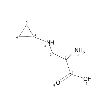 NC(CNC1CC1)C(=O)O